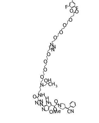 COc1cnc(-n2cnc(C(=O)NCCCN(CCOCCOCCOCCOCc3cn(CCOCCOCCOCCOCCC(=O)Oc4c(F)cc(F)cc4F)nn3)CC(C)O)n2)c2[nH]cc(C(=O)C(=O)N3CCC(=C(C#N)c4ccccc4)CC3)c12